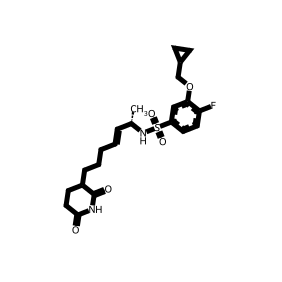 C[C@@H](/C=C/CCCC1CCC(=O)NC1=O)NS(=O)(=O)c1ccc(F)c(OCC2CC2)c1